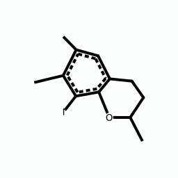 Cc1cc2c(c(I)c1C)OC(C)CC2